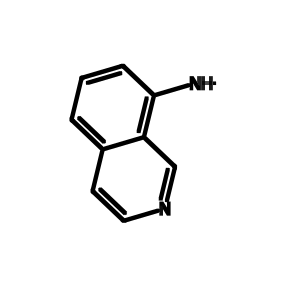 [NH]c1cccc2ccncc12